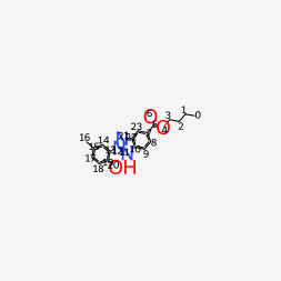 CCCCOC(=O)c1ccc2nn(-c3cc(C)ccc3O)nc2c1